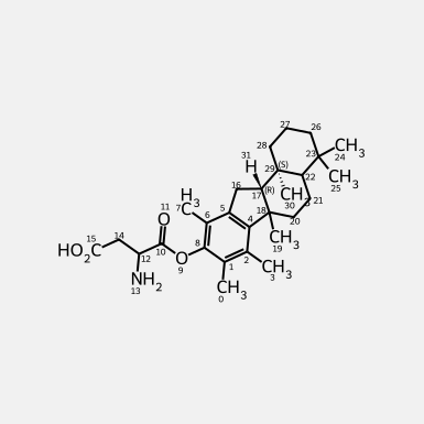 Cc1c(C)c2c(c(C)c1OC(=O)C(N)CC(=O)O)C[C@H]1C2(C)CCC2C(C)(C)CCC[C@@]21C